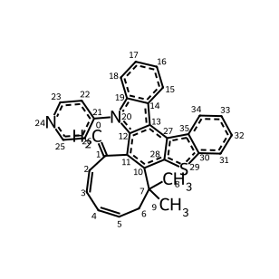 C=C1/C=C\C=C/CC(C)(C)c2c1c1c(c3ccccc3n1-c1ccncc1)c1c2sc2ccccc21